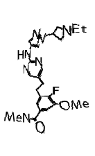 CCN1CC(n2cc(Nc3ncc(CCc4cc(C(=O)NC)cc(OC)c4F)cn3)cn2)C1